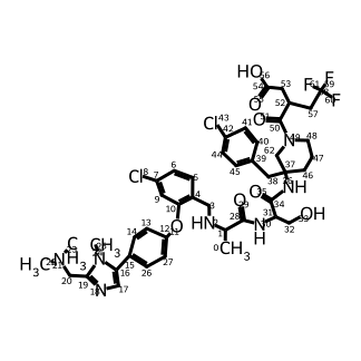 CC(NCc1ccc(Cl)cc1Oc1ccc(-c2cnc(CN(C)C)n2C)cc1)C(=O)NC(CO)C(=O)NC1(Cc2ccc(Cl)cc2)CCCN(C(=O)C(CC(=O)O)CC(F)(F)F)C1